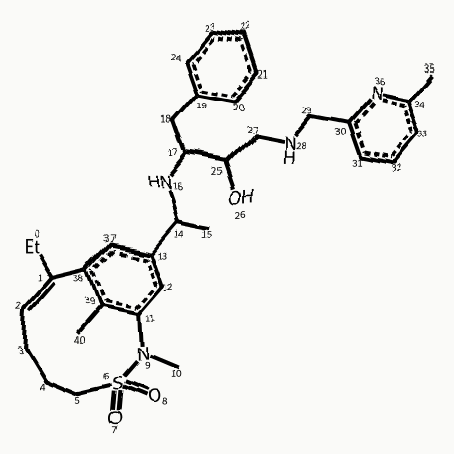 CC/C1=C/CCCS(=O)(=O)N(C)c2cc(C(C)NC(Cc3ccccc3)C(O)CNCc3cccc(C)n3)cc1c2C